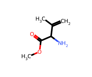 C=C(C)C(N)C(=O)OC